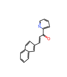 O=C(/C=C/c1ccc2ccccc2c1)c1ccccn1